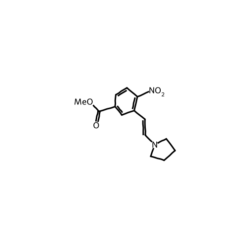 COC(=O)c1ccc([N+](=O)[O-])c(/C=C/N2CCCC2)c1